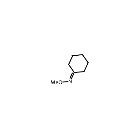 CON=C1C[CH]CCC1